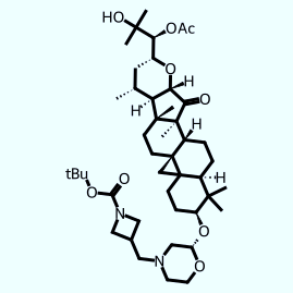 CC(=O)O[C@@H]([C@H]1C[C@@H](C)[C@H]2[C@H](O1)C(=O)[C@@]1(C)[C@@H]3CC[C@H]4C(C)(C)[C@@H](O[C@H]5CN(CC6CN(C(=O)OC(C)(C)C)C6)CCO5)CCC45C[C@@]35CC[C@]21C)C(C)(C)O